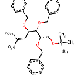 CCCCCCCCCC/C(=C\[C@@H](OCc1ccccc1)[C@H](OCc1ccccc1)[C@H](CO[Si](C)(C)C(C)(C)C)OCc1ccccc1)[N+](=O)[O-]